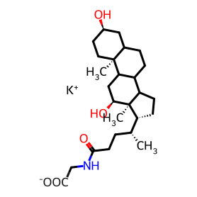 C[C@H](CCC(=O)NCC(=O)[O-])[C@H]1CCC2C3CCC4C[C@H](O)CC[C@]4(C)C3C[C@H](O)[C@@]21C.[K+]